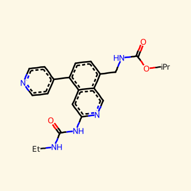 CCNC(=O)Nc1cc2c(-c3ccncc3)ccc(CNC(=O)OC(C)C)c2cn1